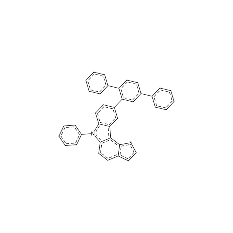 c1ccc(-c2ccc(-c3ccccc3)c(-c3ccc4c(c3)c3c5sccc5ccc3n4-c3ccccc3)c2)cc1